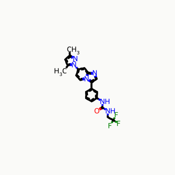 Cc1cc(C)n(-c2ccn3c(-c4cccc(NC(=O)NCC(F)(F)F)c4)cnc3c2)n1